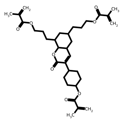 C=C(C)C(=O)OCCCC1CC2C=C(C3CCC(OC(=O)C(=C)C)CC3)C(=O)OC2C(CCCOC(=O)C(=C)C)C1